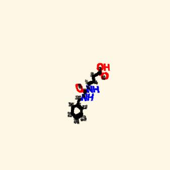 O=C(O)CCCNC(=O)NCc1ccccc1